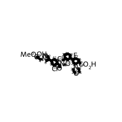 COC[C@H](O)Cn1cc(-c2cc(Cl)c(C(=O)N3COc4c(cccc4-c4cc(N5CCOCC5)c(C(=O)O)cc4F)C3)c(Cl)c2)cn1